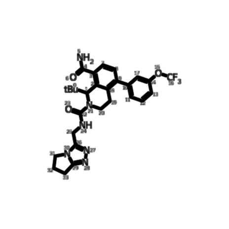 CC(C)(C)C1c2c(C(N)=O)ccc(-c3cccc(OC(F)(F)F)c3)c2CCN1C(=O)NCc1nnc2n1CCC2